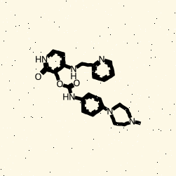 CN1CCN(c2ccc(NC(=O)Oc3c(NCc4ccccn4)cc[nH]c3=O)cc2)CC1